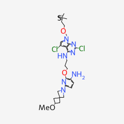 COC1CC2(C1)CN(c1ccc(N)c(OCCCNc3nc(Cl)nc4c3c(Cl)cn4COCC[Si](C)(C)C)n1)C2